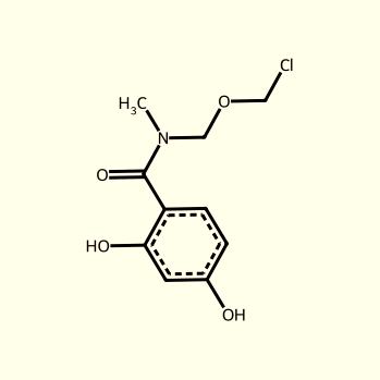 CN(COCCl)C(=O)c1ccc(O)cc1O